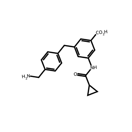 NCc1ccc(Cc2cc(NC(=O)C3CC3)cc(C(=O)O)c2)cc1